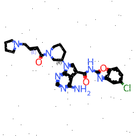 Nc1ncnc2c1c(C(=O)Nc1nc3cc(Cl)ccc3o1)cn2[C@@H]1CCCN(C(=O)/C=C/CN2CCCC2)C1